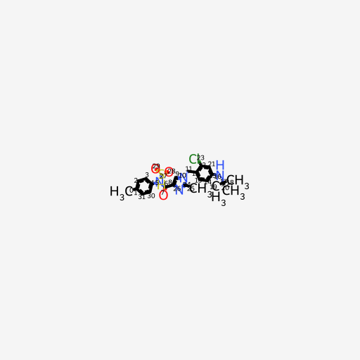 Cc1ccc(N(C(=O)c2cn(Cc3ccc(NC(C)(C)C)cc3Cl)c(C)n2)[SH](=O)=O)cc1